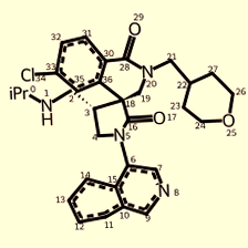 CC(C)NC[C@H]1CN(c2cncc3ccccc23)C(=O)[C@]12CN(CC1CCOCC1)C(=O)c1ccc(Cl)cc12